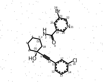 O=C(N[C@H]1CCC[C@@](O)(C#Cc2cccc(Cl)c2)C1)c1cncc(Br)c1